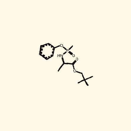 CC(NP(C)(=O)Oc1ccccc1)C(=O)OCC(C)(C)C